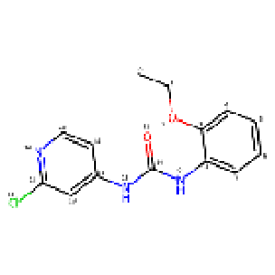 CCOc1ccccc1NC(=O)Nc1ccnc(Cl)c1